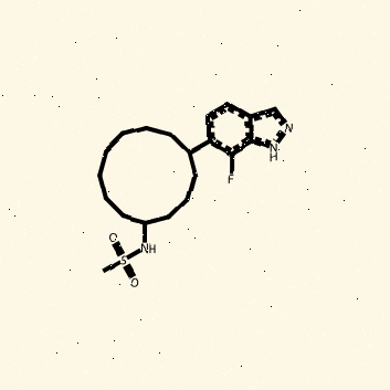 CS(=O)(=O)NC1CCCCCCCC(c2ccc3cn[nH]c3c2F)CCC1